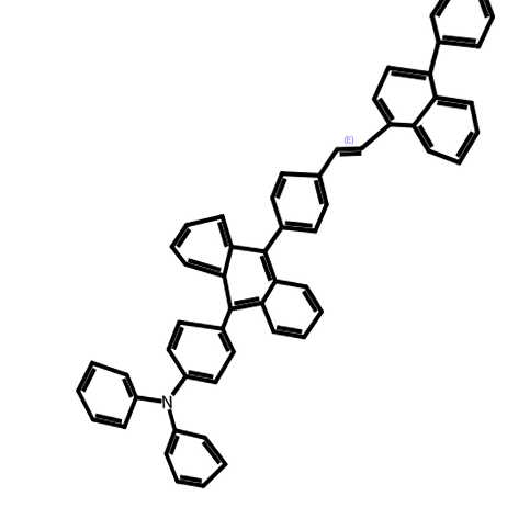 C(=C\c1ccc(-c2ccccc2)c2ccccc12)/c1ccc(-c2c3ccccc3c(-c3ccc(N(c4ccccc4)c4ccccc4)cc3)c3ccccc23)cc1